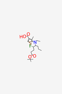 CCCC(C(F)CCC(=O)OC(C)(C)C)N(CC)c1scc(C(=O)O)c1C